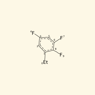 CCc1cc(F)[c]c(F)c1F